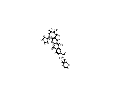 COc1cc(C(=O)NCC2(OC)CCCCC2)ccc1N(C)c1ncc2c(n1)N(C1CCCC1)CC(C)(C)C(=O)N2C